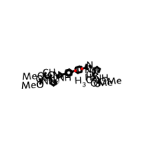 COC(=O)N[C@H](C(=O)N1CCC[C@H]1c1ncc(-c2ccc(C34CCC(c5cnc([C@@H]6CCCN6C(=O)[C@@H](NC(=O)OC)[C@@H](C)OC)[nH]5)(CC3)CC4)cc2)[nH]1)[C@@H](C)OC